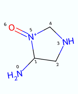 NC1CNC[N+]1=O